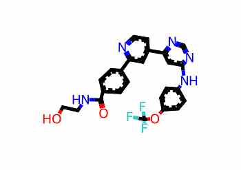 O=C(NCCO)c1ccc(-c2cc(-c3cc(Nc4ccc(OC(F)(F)F)cc4)ncn3)ccn2)cc1